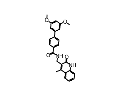 COc1cc(OC)cc(-c2ccc(C(=O)NCc3c(C)c4ccccc4[nH]c3=O)cc2)c1